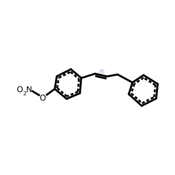 O=[N+]([O-])Oc1ccc(/C=C/Cc2ccccc2)cc1